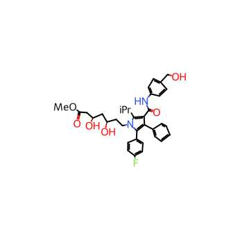 COC(=O)C[C@H](O)C[C@H](O)CCn1c(-c2ccc(F)cc2)c(-c2ccccc2)c(C(=O)Nc2ccc(CO)cc2)c1C(C)C